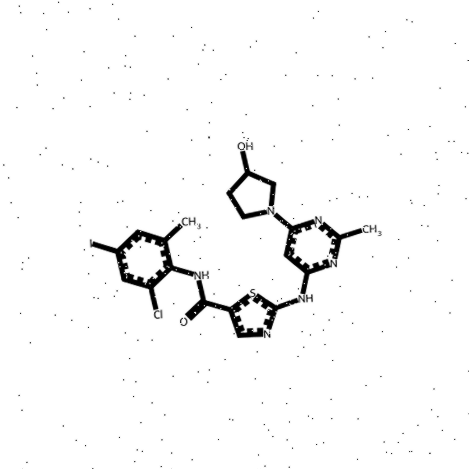 Cc1nc(Nc2ncc(C(=O)Nc3c(C)cc(I)cc3Cl)s2)cc(N2CCC(O)C2)n1